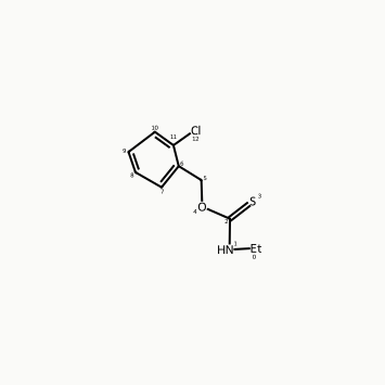 CCNC(=S)OCc1ccccc1Cl